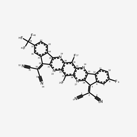 N#CC(C#N)=C1c2cc(F)ccc2-c2nc3c(F)c4nc5c(nc4c(F)c3nc21)C(=C(C#N)C#N)c1cc(C(F)(F)F)ccc1-5